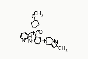 CO[C@H]1CC[C@H](C(=O)N2Cc3cccnc3Nc3ccc(N4CCn5nc(C)cc5C4)cc32)CC1